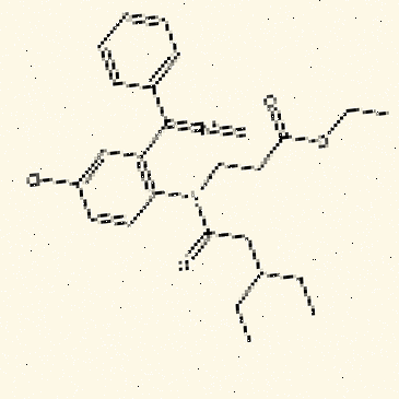 C=[N+]=C(c1ccccc1)c1cc(Cl)ccc1N(CCC(=O)OCC)C(=O)CC(CC)CC